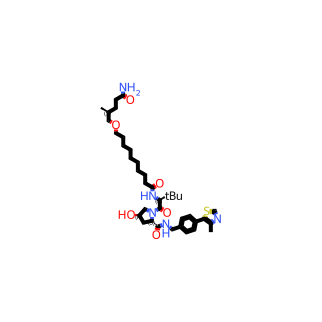 Cc1ncsc1-c1ccc(CNC(=O)[C@@H]2C[C@@H](O)CN2C(=O)[C@@H](NC(=O)CCCCCCCCCOC[C@@H](C)CCC(N)=O)C(C)(C)C)cc1